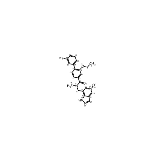 CCOc1cc(C(=O)N(C)Cc2c[n+]([O-])cc3cn[nH]c23)ccc1-c1cccc(F)c1